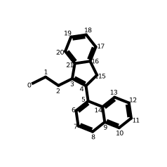 CCCC1=C(c2cccc3ccccc23)[CH]c2ccccc21